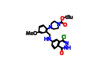 COc1ccc(N2CCN(C(=O)OC(C)(C)C)CC2)c(CNc2ccc3c(=O)[nH]nc(Cl)c3c2)c1